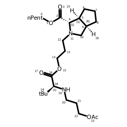 CCCCCOC(=O)[C@@H]1[C@H]2CCC[C@H]2CN1CCCOC(=O)[C@@H](NCCCOC(C)=O)C(C)(C)C